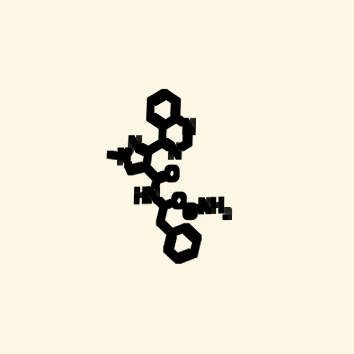 Cn1cc(C(=O)NC(Cc2ccccc2)OON)c(-c2ncnc3ccccc23)n1